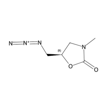 CN1C[C@H](CN=[N+]=[N-])OC1=O